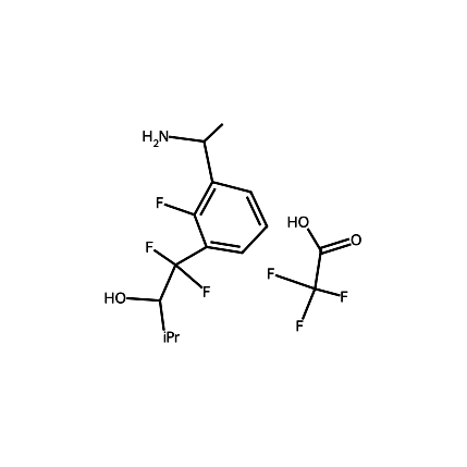 CC(N)c1cccc(C(F)(F)C(O)C(C)C)c1F.O=C(O)C(F)(F)F